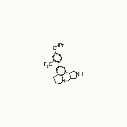 CC(C)Oc1ccc(-c2cc3c4c(c2)C2CNCC2CN4CCC3)c(C(F)(F)F)c1